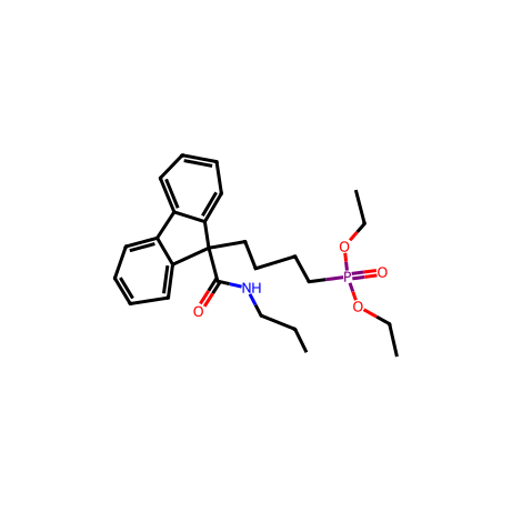 CCCNC(=O)C1(CCCCP(=O)(OCC)OCC)c2ccccc2-c2ccccc21